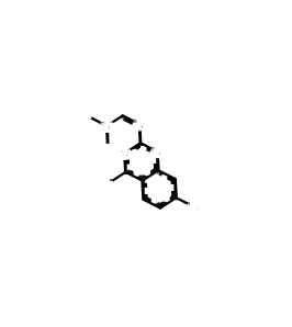 CN(C)/C=N\c1nc(Cl)c2ccc(Br)cc2n1